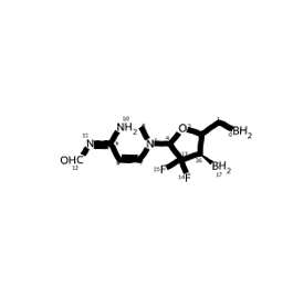 BCC1OC(N(C)/C=C\C(N)=N/C=O)C(F)(F)[C@@H]1B